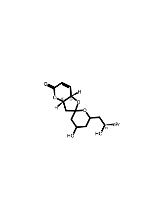 CCC[C@@H](O)CC1CC(O)CC2(C[C@@H]3OC(=O)C=C[C@@H]3O2)O1